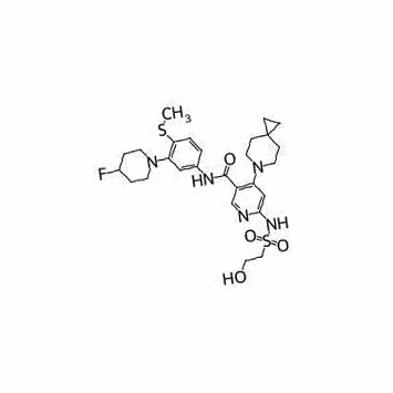 CSc1ccc(NC(=O)c2cnc(NS(=O)(=O)CCO)cc2N2CCC3(CC2)CC3)cc1N1CCC(F)CC1